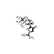 CC(C)n1cc(F)c(S(N)(=O)=N[Si](C)(C)C(C)(C)C)n1